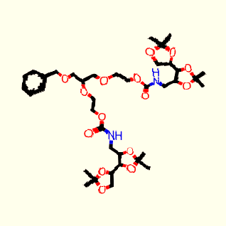 CC1(C)OCC(C2OC(C)(C)OC2CNC(=O)OCCOCC(COCc2ccccc2)OCCOC(=O)NCC2OC(C)(C)OC2C2COC(C)(C)O2)O1